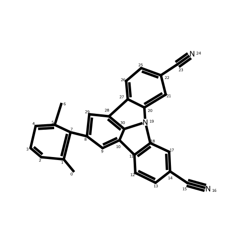 Cc1cccc(C)c1-c1cc2c3ccc(C#N)cc3n3c4cc(C#N)ccc4c(c1)c23